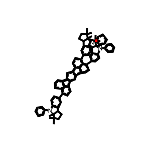 CC1(C)CCC2c3cc(-c4ccc5c6cc7c(cc6c6cccc4c65)c4ccc(-c5ccc6c(c5)C5CCC(C)(C)C5(C)N6c5ccccc5)c5c(-c6ccc8c(c6)C6CCC(C)(C)C6(C)N8c6ccccc6)ccc7c54)ccc3N(c3ccccc3)C21C